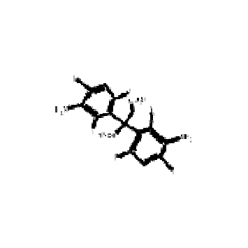 CCCCCCCCCC(CC(=O)O)(c1c(I)cc(I)c(N)c1I)c1c(I)cc(I)c(N)c1I